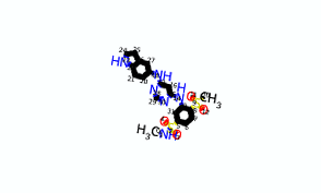 CNS(=O)(=O)c1ccc(S(C)(=O)=O)c(Nc2cc(Nc3ccc4[nH]ccc4c3)ncn2)c1